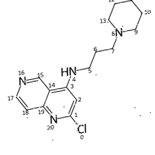 Clc1cc(NCCCN2CCCCC2)c2cnccc2n1